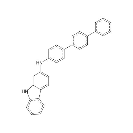 C1=C(Nc2ccc(-c3ccc(-c4ccccc4)cc3)cc2)CC2Nc3ccccc3C2=C1